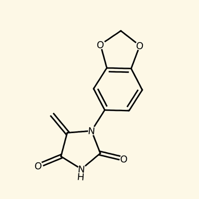 C=C1C(=O)NC(=O)N1c1ccc2c(c1)OCO2